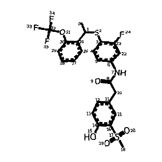 CC(Sc1ccc(NC(=O)Cc2ccc(O)c(S(C)(=O)=O)c2)cc1F)c1ccccc1OC(F)(F)F